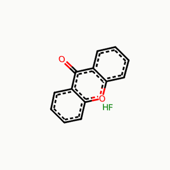 F.O=c1c2ccccc2oc2ccccc12